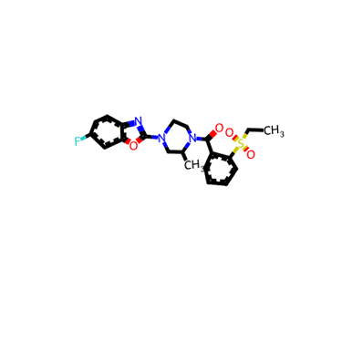 CCS(=O)(=O)c1ccccc1C(=O)N1CCN(c2nc3ccc(F)cc3o2)CC1C